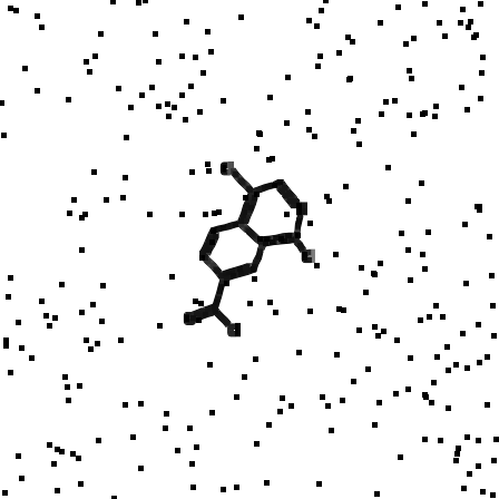 O=C(Cl)c1ccc2c(Cl)cnc(Cl)c2c1